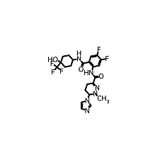 CN1N=C(C(=O)Nc2cc(F)c(F)cc2C(=O)NC2CCC(O)(C(F)(F)F)CC2)CCC1n1ccnc1